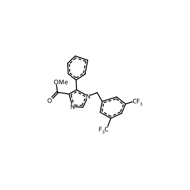 COC(=O)c1ncn(Cc2cc(C(F)(F)F)cc(C(F)(F)F)c2)c1-c1ccccc1